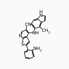 Cc1c(Nc2c(C#N)cnc3sc(-c4ccccc4N)cc23)ccc2[nH]ccc12